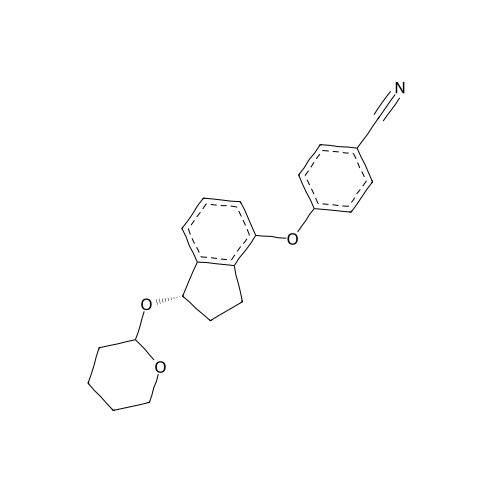 N#Cc1ccc(Oc2cccc3c2CC[C@@H]3OC2CCCCO2)cc1